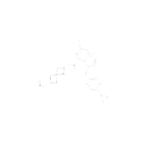 O=C(O)CC1CC2(C1)CC(NC(=O)c1cc(Cl)cc3cnn(Cc4ccc(C5CC5)cn4)c13)C2